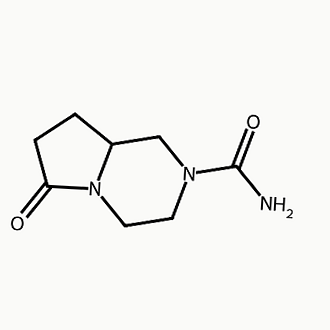 NC(=O)N1CCN2C(=O)CCC2C1